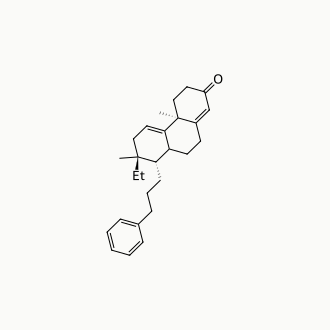 CC[C@@]1(C)CC=C2C(CCC3=CC(=O)CC[C@@]32C)[C@@H]1CCCc1ccccc1